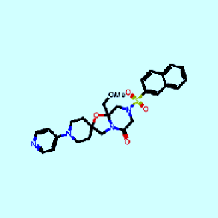 COCC12CN(S(=O)(=O)c3ccc4ccccc4c3)CC(=O)N1CC1(CCN(c3ccncc3)CC1)O2